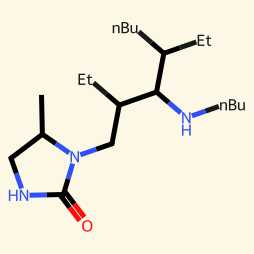 CCCCNC(C(CC)CCCC)C(CC)CN1C(=O)NCC1C